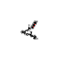 N#CCC1(n2cc(-c3ncnc4[nH]ccc34)cn2)CN([C@H]2CC[C@@H](Oc3cc(CNCCc4c[nH]cn4)nc(C(F)(F)F)n3)CC2)C1.O=C(O)C(F)(F)F.O=C(O)C(F)(F)F.O=C(O)C(F)(F)F